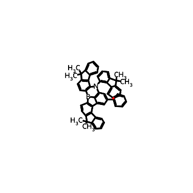 CC1(C)c2ccccc2-c2c(N3c4cc(-c5ccccc5)cc5c4B(c4ccc6c(c4-5)-c4ccccc4C6(C)C)c4ccc5c(c43)-c3ccccc3C5(C)C)cccc21